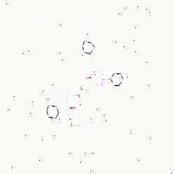 CC(NC(=O)[C@H](CCc1ccccc1)NC(=O)c1cccc(F)c1)C(=O)C(=O)N[C@@H](Cc1ccccc1)C(=O)NC(C)(C)C(N)=O